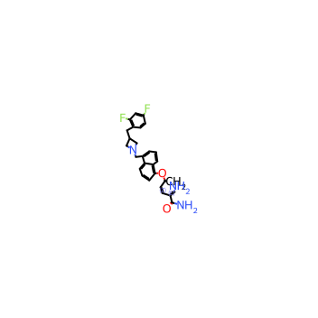 C=C(/C=C\C(=C/N)C(N)=O)Oc1cccc2c(CN3CC(Cc4ccc(F)cc4F)C3)cccc12